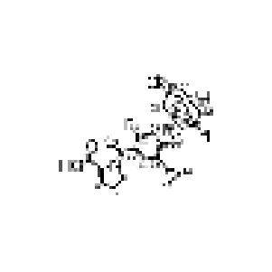 O=C(O)[C@@H]1CCCN1C(=O)c1cc(C2CC2)c(OC2[C@@H]3C[C@H]4C[C@H]2C[C@@](Cl)(C4)C3)cc1F